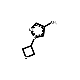 Cc1cnn(C2COC2)c1